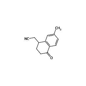 Cc1ccc2c(c1)C(CC#N)CCC2=O